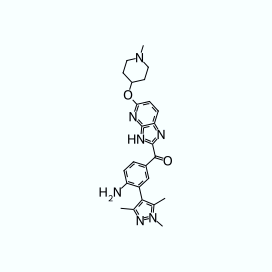 Cc1nn(C)c(C)c1-c1cc(C(=O)c2nc3ccc(OC4CCN(C)CC4)nc3[nH]2)ccc1N